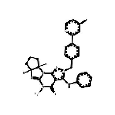 CN1C(=O)c2c(nn(Cc3ccc(-c4cc(F)ccn4)cc3)c2Nc2ccccc2)N2C1=N[C@@H]1CCC[C@@H]12